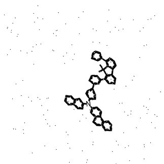 CC1(C)c2c(-c3ccccc3)cccc2-c2cccc(-c3cccc(-c4ccc(N(c5ccc6ccccc6c5)c5ccc6c(ccc7ccccc76)c5)cc4)c3)c21